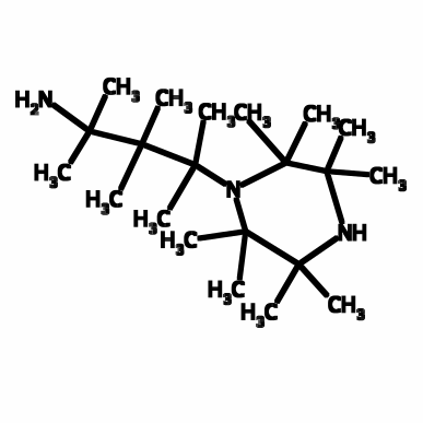 CC(C)(N)C(C)(C)C(C)(C)N1C(C)(C)C(C)(C)NC(C)(C)C1(C)C